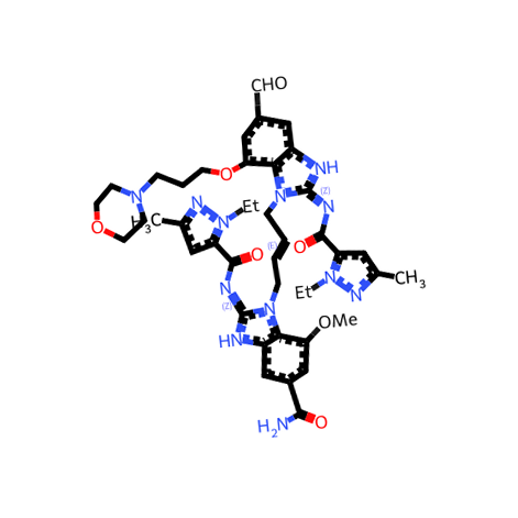 CCn1nc(C)cc1C(=O)/N=c1/[nH]c2cc(C(N)=O)cc(OC)c2n1C/C=C/Cn1/c(=N\C(=O)c2cc(C)nn2CC)[nH]c2cc(C=O)cc(OCCCN3CCOCC3)c21